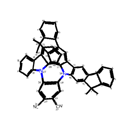 CC1(C)c2ccccc2-c2cc3c4cc5c(cc4n(-c4cc(C#N)c(C#N)cc4-n4c6ccccc6c6ccccc64)c3cc21)C(C)(C)c1ccccc1-5